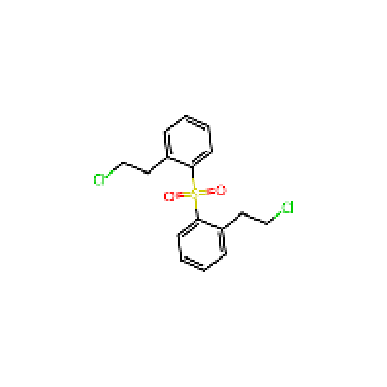 O=S(=O)(c1ccccc1CCCl)c1ccccc1CCCl